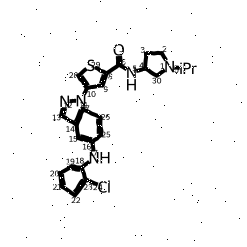 CC(C)N1CCC(NC(=O)c2cc(-n3ncc4cc(Nc5ccccc5Cl)ccc43)cs2)C1